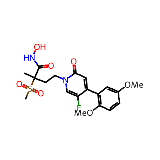 COc1ccc(OC)c(-c2cc(=O)n(CCC(C)(C(=O)NO)S(C)(=O)=O)cc2F)c1